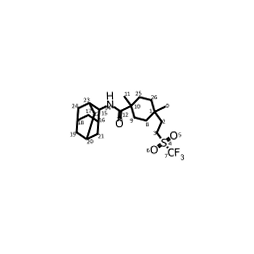 CC1(CCS(=O)(=O)C(F)(F)F)CCC(C)(C(=O)NC2C3CC4CC(C3)CC2C4)CC1